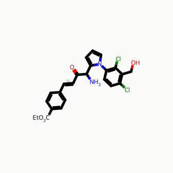 CCOC(=O)c1ccc(/C=C/C(=O)C(N)c2cccn2-c2ccc(Cl)c(CO)c2Cl)cc1